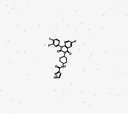 O=C(NC1CCC(n2c(=O)c3cc(F)cnc3n(-c3ccc(F)c(F)c3)c2=O)CC1)c1cc[nH]n1